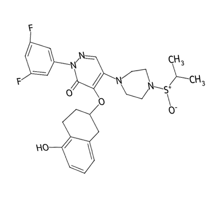 CC(C)[S+]([O-])N1CCN(c2cnn(-c3cc(F)cc(F)c3)c(=O)c2OC2CCc3c(O)cccc3C2)CC1